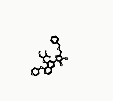 CCn1c(COCc2ccccc2)nn(-c2cc(OC(CF)C(F)F)c3c(OC4CCOCC4)nccc3c2)c1=O